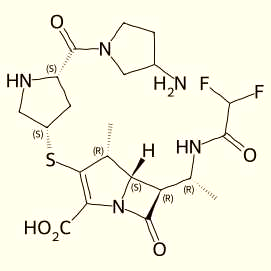 C[C@@H](NC(=O)C(F)F)[C@H]1C(=O)N2C(C(=O)O)=C(S[C@@H]3CN[C@H](C(=O)N4CCC(N)C4)C3)[C@H](C)[C@H]12